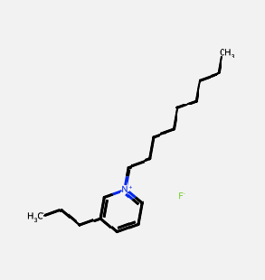 CCCCCCCCC[n+]1cccc(CCC)c1.[F-]